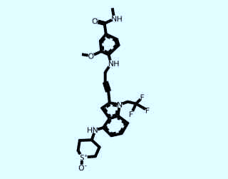 CNC(=O)c1ccc(NCC#Cc2cc3c(NC4CC[S+]([O-])CC4)cccc3n2CC(F)(F)F)c(OC)c1